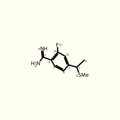 CSC(C)c1ccc(C(=N)N)c(F)c1